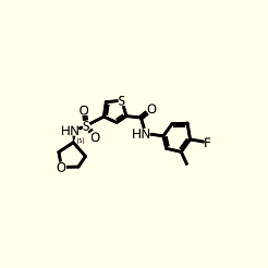 Cc1cc(NC(=O)c2cc(S(=O)(=O)N[C@H]3CCOC3)cs2)ccc1F